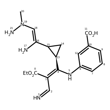 CCOC(=O)/C(C=N)=C(/Nc1cccc(C(=O)O)c1)[C@@H]1CC1/C(N)=C/N(C)N